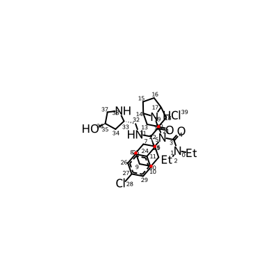 CCN(CC)C(=O)N(C1CCCCC1)C1CC2CCC(C1)N2C(=O)[C@@H](Cc1ccc(Cl)cc1)NC[C@@H]1C[C@@H](O)CN1.Cl